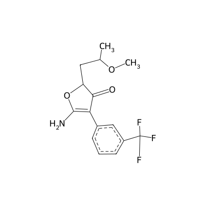 COC(C)CC1OC(N)=C(c2cccc(C(F)(F)F)c2)C1=O